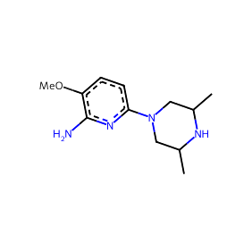 COc1ccc(N2CC(C)NC(C)C2)nc1N